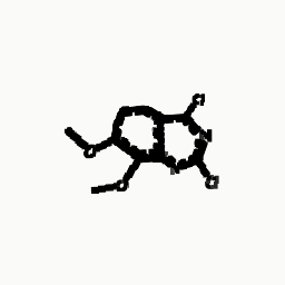 COc1ccc2c(Cl)nc(Cl)nc2c1OC